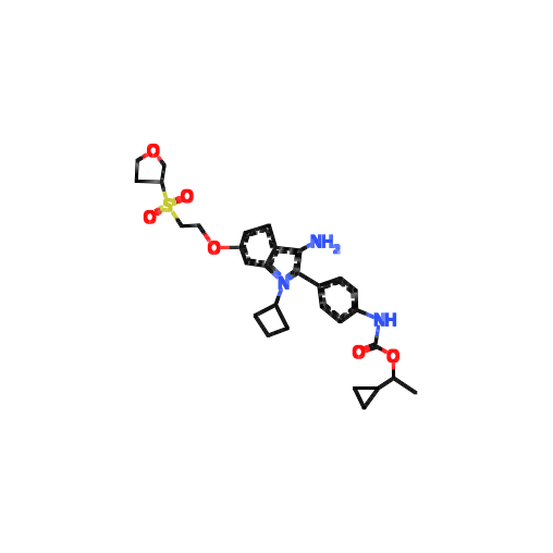 CC(OC(=O)Nc1ccc(-c2c(N)c3ccc(OCCS(=O)(=O)C4CCOC4)cc3n2C2CCC2)cc1)C1CC1